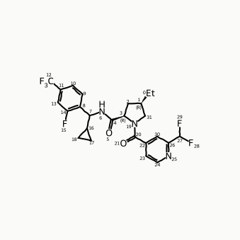 CC[C@@H]1C[C@H](C(=O)NC(c2ccc(C(F)(F)F)cc2F)C2CC2)N(C(=O)c2ccnc(C(F)F)c2)C1